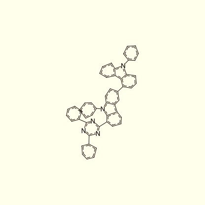 c1ccc(-c2nc(-c3ccccc3)nc(-c3cccc4c5cc(-c6cccc7c6c6ccccc6n7-c6ccccc6)ccc5n(-c5ccccc5)c34)n2)cc1